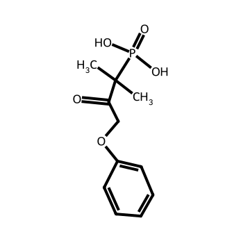 CC(C)(C(=O)COc1ccccc1)P(=O)(O)O